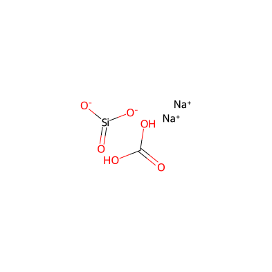 O=C(O)O.O=[Si]([O-])[O-].[Na+].[Na+]